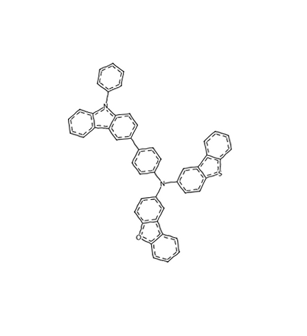 c1ccc(-n2c3ccccc3c3cc(-c4ccc(N(c5ccc6oc7ccccc7c6c5)c5ccc6sc7ccccc7c6c5)cc4)ccc32)cc1